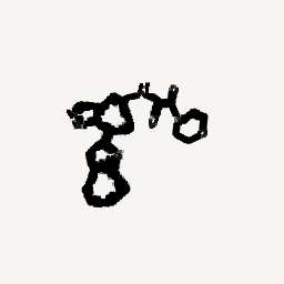 O=C(Nc1cc(-c2cc3ccccc3s2)c2[nH]ncc2c1)C(=O)N1CCOCC1